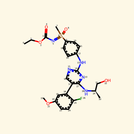 CCOC(=O)N=S(C)(=O)c1ccc(Nc2ncc(-c3cc(OC)ccc3F)c(N[C@H](C)CO)n2)cc1